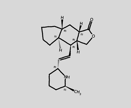 C[C@H]1CCC[C@H](C=C[C@@H]2[C@H]3COC(=O)[C@H]3C[C@H]3CCCC[C@@H]32)N1